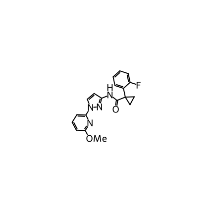 COc1cccc(-n2ccc(NC(=O)C3(c4ccccc4F)CC3)n2)n1